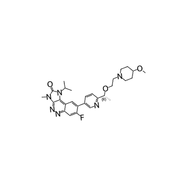 COC1CCN(CCO[C@H](C)c2ccc(-c3cc4c(cc3F)nnc3c4n(C(C)C)c(=O)n3C)cn2)CC1